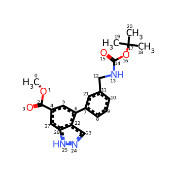 COC(=O)c1cc(-c2cccc(CNC(=O)OC(C)(C)C)c2)c2cn[nH]c2c1